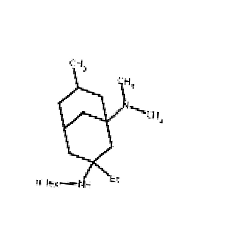 CCCCCCNC1(CC)CC2CC(C)CC(N(C)C)(C2)C1